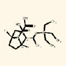 CC[Si](CC)(CC)OC(C)[C@@H]1[C@@H]2CC[C@H](CN1C(=O)O)N2C(=O)O